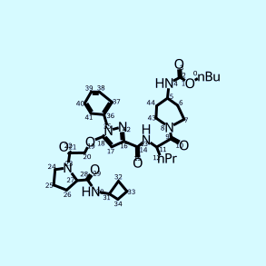 CCCCOC(=O)NC1CCN(C(=O)C(CCC)NC(=O)c2cc(OCC(=O)N3CCCC3C(=O)NC3CCC3)n(-c3ccccc3)n2)CC1